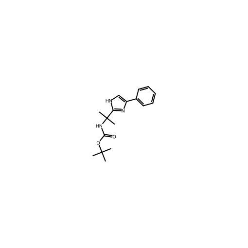 CC(C)(C)OC(=O)NC(C)(C)c1nc(-c2ccccc2)c[nH]1